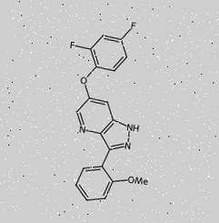 COc1ccccc1-c1n[nH]c2cc(Oc3ccc(F)cc3F)cnc12